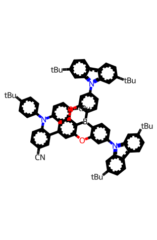 CC(C)(C)c1ccc(N(c2ccc(C(C)(C)C)cc2)c2ccc(C#N)cc2-c2cc3c4c(c2)Oc2cc(-n5c6cc(C(C)(C)C)ccc6c6ccc(C(C)(C)C)cc65)ccc2B4c2ccc(-n4c5cc(C(C)(C)C)ccc5c5ccc(C(C)(C)C)cc54)cc2O3)cc1